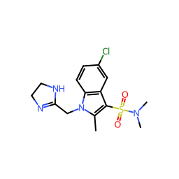 Cc1c(S(=O)(=O)N(C)C)c2cc(Cl)ccc2n1CC1=NCCN1